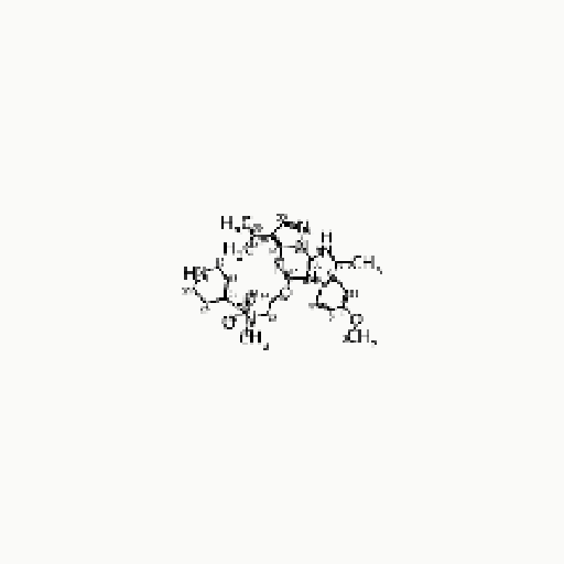 COc1cccc(C(C)Nc2nc(OCCN(C)S(=O)(=O)C3CCNCC3)nc3c(C(C)C)cnn23)c1